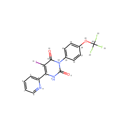 O=c1[nH]c(-c2ccccn2)c(I)c(=O)n1-c1ccc(OC(F)(F)F)cc1